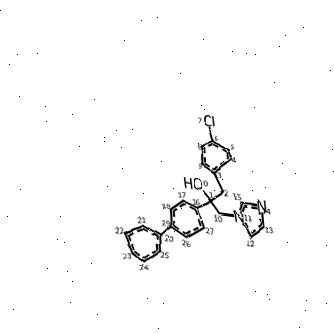 OC(Cc1ccc(Cl)cc1)(Cn1ccnc1)c1ccc(-c2ccccc2)cc1